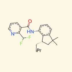 CC(C)C[C@H]1CC(C)(C)c2cccc(NC(=O)c3cccnc3C(F)F)c21